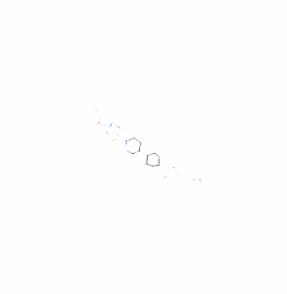 CC(=O)NC[C@H]1CN(c2ccc(-c3ccc(N4C=NN(C(=O)CN)CC4)nc3)c(F)c2)C(=O)O1